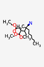 CCCCCCC(C)(C#N)C(CC)C(CC(=O)OCC)C(=O)OCC